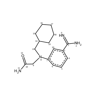 N=C(N)c1cccc(N(CC(N)=O)CC2CCCCC2)c1